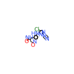 CNC(=O)C1CC(=O)N(C)c2ccc(Nc3nc(N4CCN(C)CC4)ncc3Cl)cc2C1